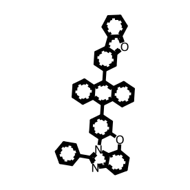 c1ccc(-c2nc3cccc4c3n2-c2ccc(-c3c5ccccc5c(-c5ccc6c(c5)oc5ccccc56)c5ccccc35)cc2O4)cc1